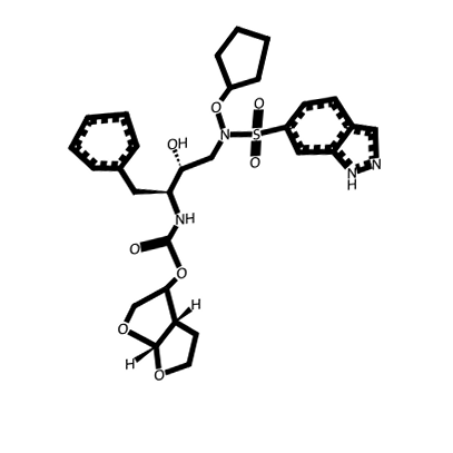 O=C(N[C@@H](Cc1ccccc1)[C@H](O)CN(OC1CCCC1)S(=O)(=O)c1ccc2cn[nH]c2c1)OC1CO[C@H]2OCC[C@@H]12